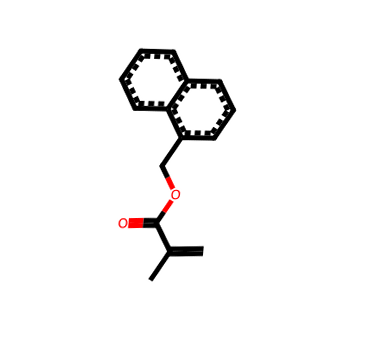 C=C(C)C(=O)OCc1cccc2ccccc12